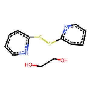 OCCO.c1ccc(SSc2ccccn2)nc1